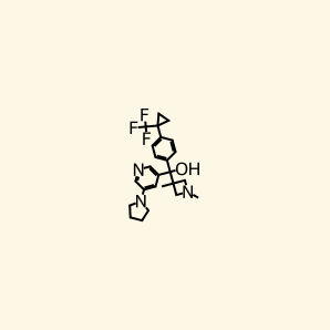 CN1CC(C)(C(O)(c2ccc(C3(C(F)(F)F)CC3)cc2)c2cncc(N3CCCC3)c2)C1